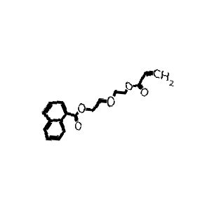 C=CC(=O)OCCOCCOC(=O)c1cccc2ccccc12